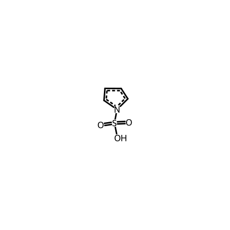 O=S(=O)(O)n1cccc1